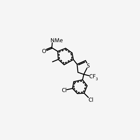 CNC(=O)c1ccc(C2=CSC(c3cc(Cl)cc(Cl)c3)(C(F)(F)F)C2)cc1C